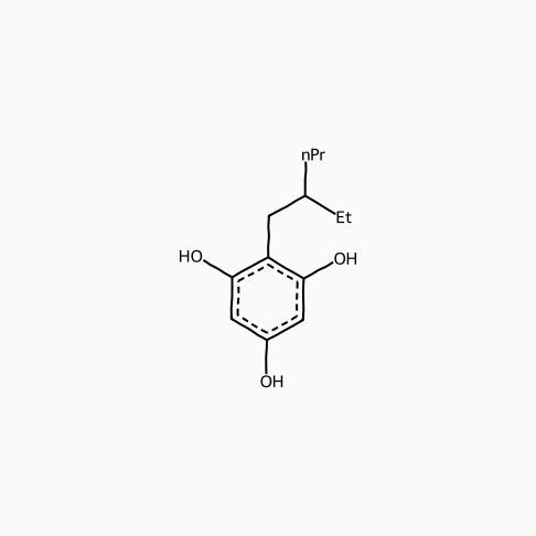 CCCC(CC)Cc1c(O)cc(O)cc1O